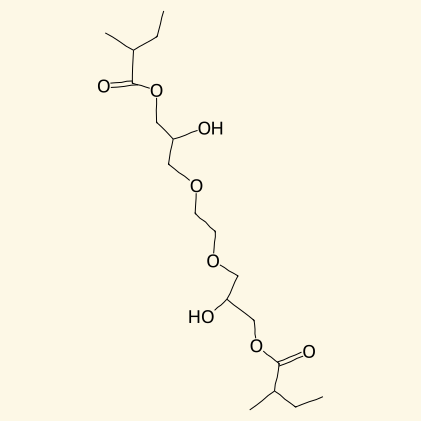 CCC(C)C(=O)OCC(O)COCCOCC(O)COC(=O)C(C)CC